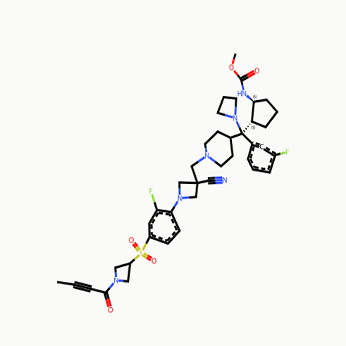 CC#CC(=O)N1CC(S(=O)(=O)c2ccc(N3CC(C#N)(CN4CCC(C(c5cccc(F)c5)([C@H]5CCC[C@@H]5NC(=O)OC)N5CCC5)CC4)C3)c(F)c2)C1